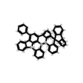 c1ccc(-c2cc3c4c5c2c2ccccc2n5-c2ccccc2B4N2c4ccccc4C4(c5ccccc5-c5ccccc54)c4cccc-3c42)cc1